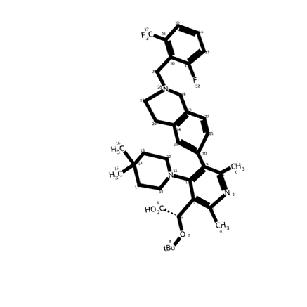 Cc1nc(C)c([C@H](OC(C)(C)C)C(=O)O)c(N2CCC(C)(C)CC2)c1-c1ccc2c(c1)CCN(Cc1c(F)cccc1C(F)(F)F)C2